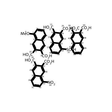 COc1cccc2cc(C(=O)O)c(C(=O)O)cc12.O=C(O)c1cc2cccc(S(=O)(=O)O)c2cc1C(=O)O.O=C(O)c1cc2cccc([N+](=O)[O-])c2cc1C(=O)O.O=C(O)c1cc2ccccc2cc1C(=O)O